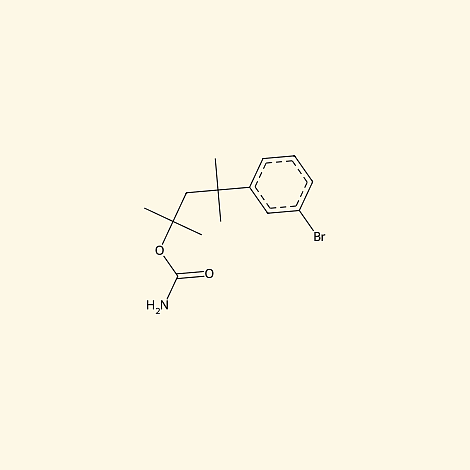 CC(C)(CC(C)(C)c1cccc(Br)c1)OC(N)=O